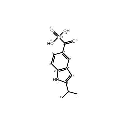 CC(C)c1cc2cc(C(=O)P(=O)(O)O)ccc2[nH]1